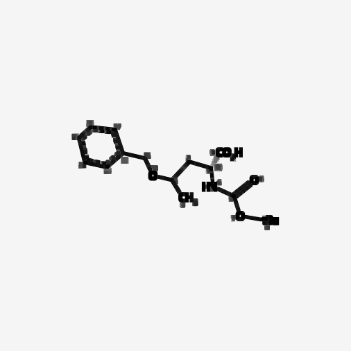 CC(C[C@@H](NC(=O)OC(C)(C)C)C(=O)O)OCc1ccccc1